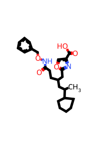 CC(CC(CCC(=O)NOCc1ccccc1)Cc1nc(C(=O)O)co1)C1CCCCC1